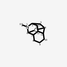 IN1C2CC3CC1C1CCCC3C1C2